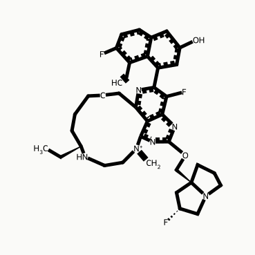 C#Cc1c(F)ccc2cc(O)cc(-c3nc4c5c(nc(OC[C@@]67CCCN6C[C@H](F)C7)nc5c3F)[N+](=C)CCN[C@@H](CC)CCCCC4)c12